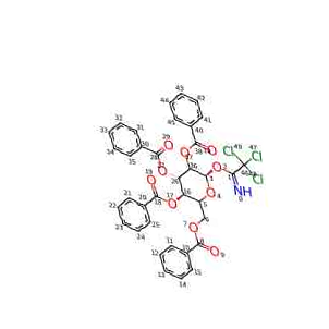 N=C(O[C@H]1OC(COC(=O)c2ccccc2)[C@@H](OC(=O)c2ccccc2)[C@H](OC(=O)c2ccccc2)C1OC(=O)c1ccccc1)C(Cl)(Cl)Cl